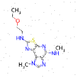 CCOCCNc1nc2c(nc(NC)c3ncn(C)c32)s1